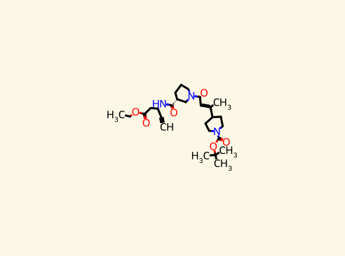 C#CC(CC(=O)OCC)NC(=O)[C@@H]1CCCN(C(=O)/C=C(\C)C2CCN(C(=O)OC(C)(C)C)CC2)C1